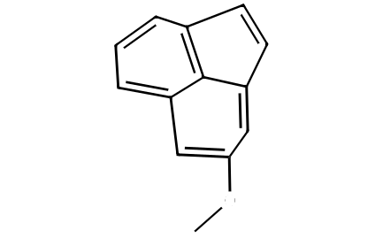 COc1cc2c3c(cccc3c1)C=C2